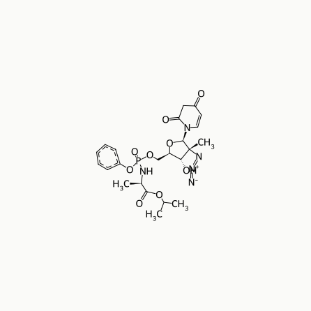 CC(C)OC(=O)[C@@H](C)NP(=O)(OC[C@H]1O[C@@H](N2C=CC(=O)CC2=O)[C@](C)(N=[N+]=[N-])[C@@H]1O)Oc1ccccc1